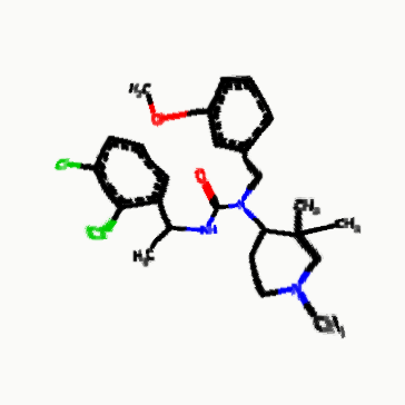 COc1cccc(CN(C(=O)NC(C)c2cccc(Cl)c2Cl)C2CCN(C)CC2(C)C)c1